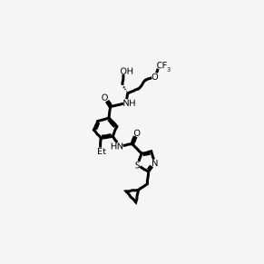 CCc1ccc(C(=O)N[C@H](CO)CCOC(F)(F)F)cc1NC(=O)c1cnc(CC2CC2)s1